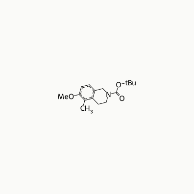 COc1ccc2c(c1C)CCN(C(=O)OC(C)(C)C)C2